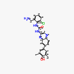 Cc1cc(-c2ccc3ncc(NC(=O)Nc4c(Cl)cccc4CN)nc3c2)cc(C)c1O